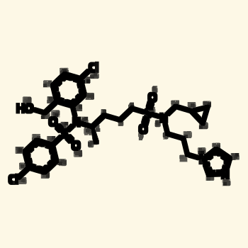 C[C@H](CCCS(=O)(=O)N(CCCn1ccnc1)CC1CC1)N(c1cc(Cl)ccc1CO)S(=O)(=O)c1ccc(Cl)cc1